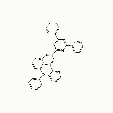 c1ccc(-c2cc(-c3ccccc3)nc(-c3cc4c5c(cccc5c3)N(c3ccccc3)c3cccnc3-4)n2)cc1